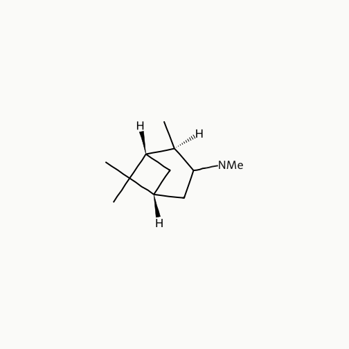 CNC1C[C@H]2C[C@@H]([C@H]1C)C2(C)C